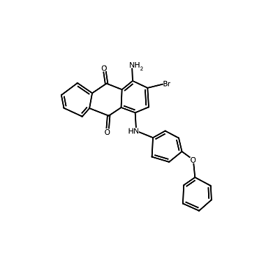 Nc1c(Br)cc(Nc2ccc(Oc3ccccc3)cc2)c2c1C(=O)c1ccccc1C2=O